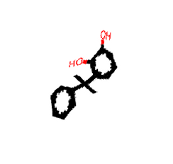 CC(C)(c1ccccc1)c1cccc(O)c1O